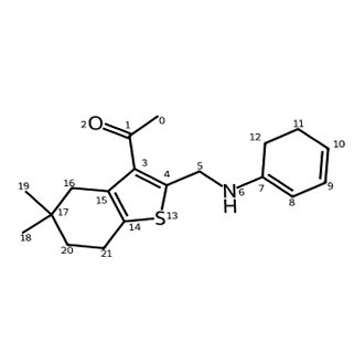 CC(=O)c1c(CNC2=CC=CCC2)sc2c1CC(C)(C)CC2